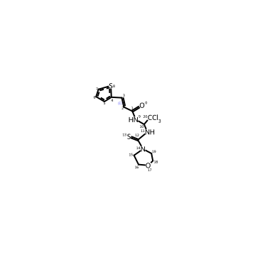 O=C(/C=C/c1cccs1)NC(NC(=S)N1CCOCC1)C(Cl)(Cl)Cl